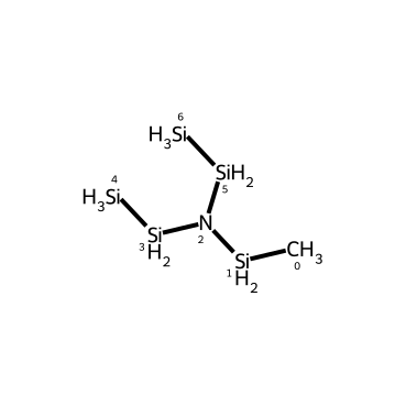 C[SiH2]N([SiH2][SiH3])[SiH2][SiH3]